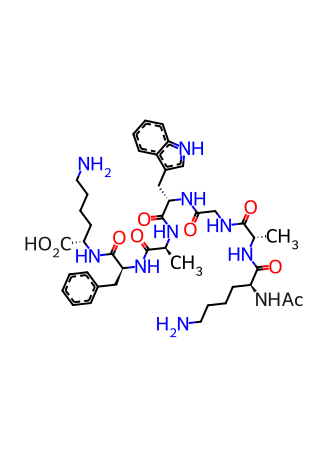 CC(=O)N[C@@H](CCCCN)C(=O)N[C@@H](C)C(=O)NCC(=O)N[C@@H](Cc1c[nH]c2ccccc12)C(=O)N[C@@H](C)C(=O)N[C@@H](Cc1ccccc1)C(=O)N[C@@H](CCCCN)C(=O)O